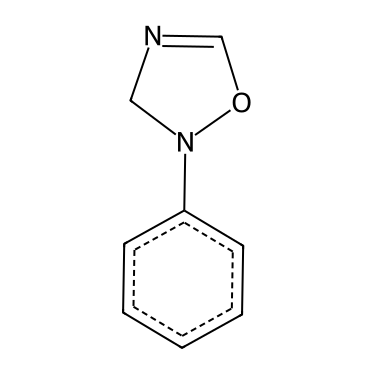 C1=NCN(c2ccccc2)O1